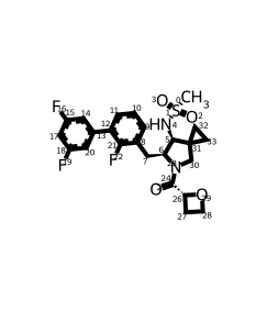 CS(=O)(=O)N[C@@H]1[C@H](Cc2cccc(-c3cc(F)cc(F)c3)c2F)N(C(=O)[C@H]2CCO2)CC12CC2